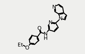 CCOc1ccc(C(=O)Nc2ccc(-n3ccc4ccncc43)nc2)cc1